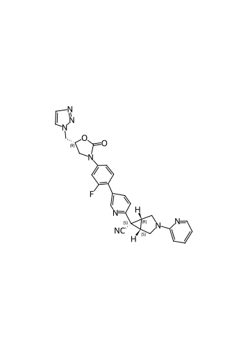 N#C[C@]1(c2ccc(-c3ccc(N4C[C@H](Cn5ccnn5)OC4=O)cc3F)cn2)[C@@H]2CN(c3ccccn3)C[C@@H]21